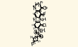 Cn1cnc2ccc(Nc3c(F)ccc(NS(=O)(=O)N4CC(F)C4)c3Cl)c(F)c2c1=O